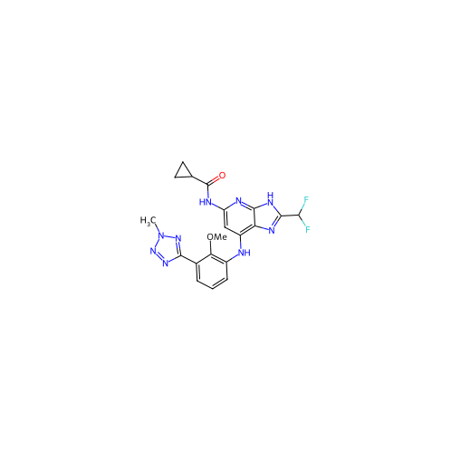 COc1c(Nc2cc(NC(=O)C3CC3)nc3[nH]c(C(F)F)nc23)cccc1-c1nnn(C)n1